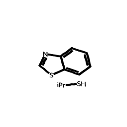 CC(C)S.c1ccc2scnc2c1